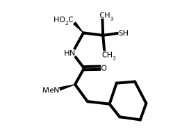 CN[C@H](CC1CCCCC1)C(=O)N[C@@H](C(=O)O)C(C)(C)S